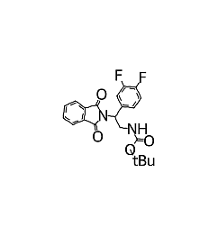 CC(C)(C)OC(=O)NCC(c1ccc(F)c(F)c1)N1C(=O)c2ccccc2C1=O